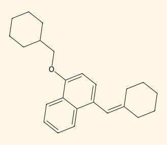 C(=C1CCCCC1)c1ccc(OCC2CCCCC2)c2ccccc12